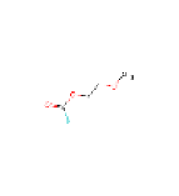 COCCOC(=O)F